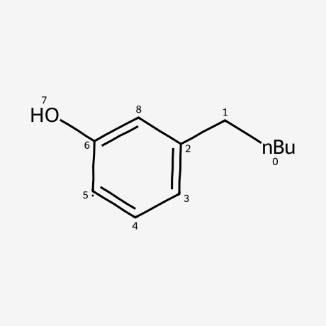 CCCCCc1cc[c]c(O)c1